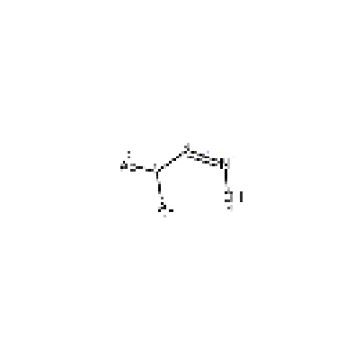 CC(=O)C(/C=N\O)C(C)=O